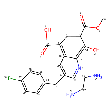 COC(=O)c1cc(C(=O)O)c2cc(Cc3ccc(F)cc3)cnc2c1O.NCCN